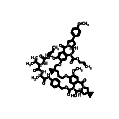 C=CCOC(=O)N[C@H](C(=O)N[C@@H](C)C(=O)Nc1ccc(COC(=O)N2c3cc(OCCCC4(COc5cc6c(cc5OC)C(=O)N5C=C(c7ccc(OC)cc7)C[C@H]5CN6C(=O)OCC=C)CC4)c(OC)cc3C(=O)N3CC4(CC4)C[C@H]3C2O)cc1)C(C)C